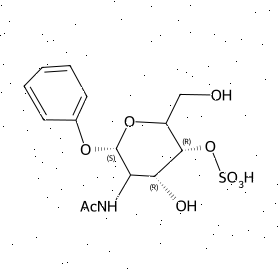 CC(=O)NC1[C@H](Oc2ccccc2)OC(CO)[C@H](OS(=O)(=O)O)[C@@H]1O